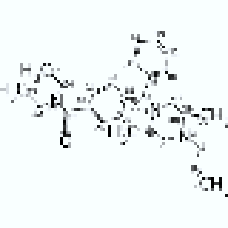 C=CCN1C[C@H](C)N([C@@H](c2ccccc2)c2ccc(C(=O)N(CC)CC)cc2)C[C@H]1C